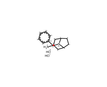 Cl.Cl.NC1CC2CCC(C1)N2Cc1ccccc1